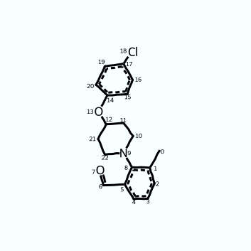 Cc1cccc(C=O)c1N1CCC(Oc2ccc(Cl)cc2)CC1